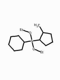 CCO[Si](OCC)(C1CCCCC1)C1CCCC1C